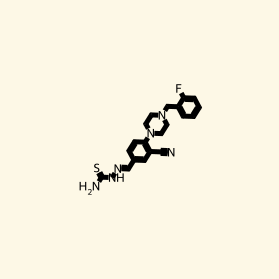 N#Cc1cc(/C=N/NC(N)=S)ccc1N1CCN(Cc2ccccc2F)CC1